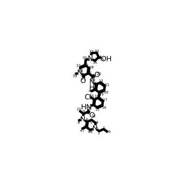 CCCN1CCC(N(C)C(C)C(=O)Nc2cccc(-c3cccc(NC(=O)c4cc(CN5CCC(O)C5)cn(C)c4=O)c3C)c2Cl)=C(C)C1